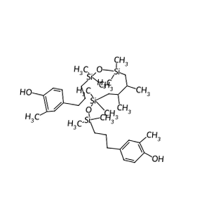 Cc1cc(CCC[Si](C)(C)O[Si](C)(C)CC(C)C(C)C[Si](C)(C)O[Si](C)(C)CCCc2ccc(O)c(C)c2)ccc1O